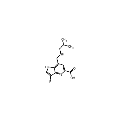 CC(C)CNCc1cc(C(=O)O)nc2c(F)c[nH]c12